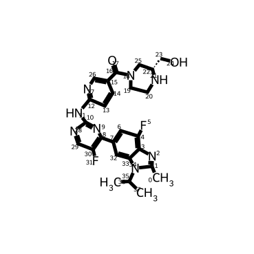 Cc1nc2c(F)cc(-c3nc(Nc4ccc(C(=O)N5CCN[C@@H](CO)C5)cn4)ncc3F)cc2n1C(C)C